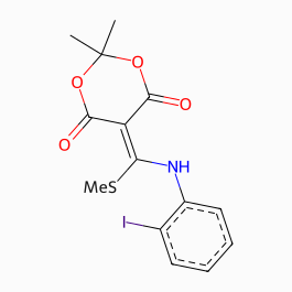 CSC(Nc1ccccc1I)=C1C(=O)OC(C)(C)OC1=O